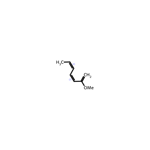 C=C(/C=C\C=C/C)OC